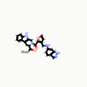 CNC(=O)C1Cc2c([nH]c3ccccc23)CN1C(=O)c1occc1CNc1ccc2cn[nH]c2c1